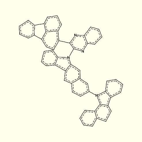 c1ccc2c(c1)-c1cccc3c(-c4nc5ccccc5nc4-n4c5ccccc5c5cc6ccc(-n7c8ccccc8c8ccc9ccccc9c87)cc6cc54)ccc-2c13